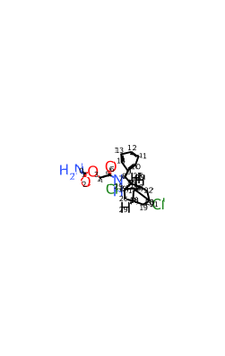 NC(=O)OCC(=O)NC(c1ccccc1)[C@H]1[C@H]2C[C@@H]3C[C@](Cl)(C2)C[C@@]1(Cl)C3